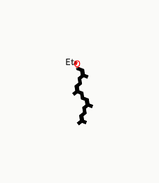 CCOCC=C(C)CCC=C(C)CCC=C(C)CCC=C(C)C